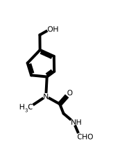 CN(C(=O)CNC=O)c1ccc(CO)cc1